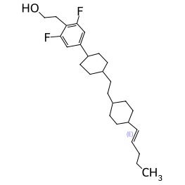 CCC/C=C/C1CCC(CCC2CCC(c3cc(F)c(CCO)c(F)c3)CC2)CC1